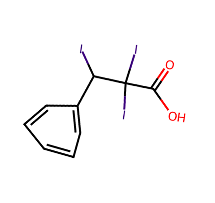 O=C(O)C(I)(I)C(I)c1ccccc1